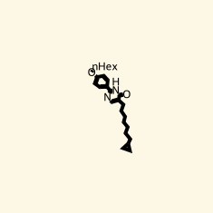 CCCCCCOc1ccc(-c2ncc(CCCCCCCC3CC3)c(=O)[nH]2)cc1